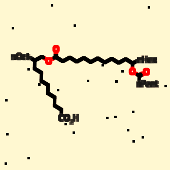 CCCCCCCCC(CCCCCCCCC(=O)O)COC(=O)CCCCCCCCCCC(CCCCCC)OC(=O)CCCCC